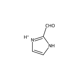 O=Cc1ncc[nH]1.[H+]